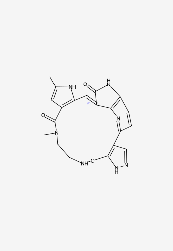 Cc1cc2c([nH]1)/C=C1\C(=O)Nc3ccc(nc31)-c1cn[nH]c1CNCCN(C)C2=O